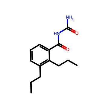 CCCc1cccc(C(=O)NC(N)=O)c1CCC